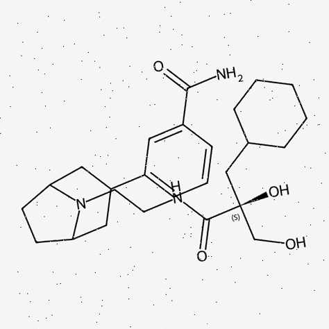 NC(=O)c1cccc(C2CC3CCC(C2)N3CCNC(=O)[C@@](O)(CO)CC2CCCCC2)c1